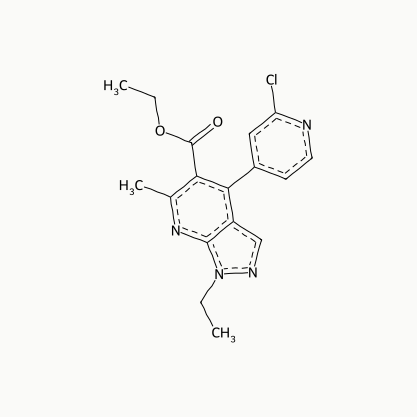 CCOC(=O)c1c(C)nc2c(cnn2CC)c1-c1ccnc(Cl)c1